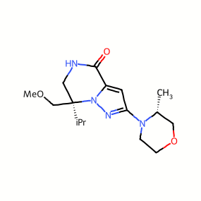 COC[C@@]1(C(C)C)CNC(=O)c2cc(N3CCOC[C@H]3C)nn21